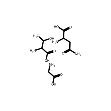 CC(O)C(N)C(=O)O.NC(=O)CC(N)C(=O)O.NCC(=O)O